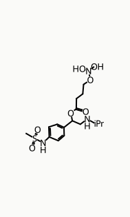 CC(C)NCC(OC(=O)CCCON(O)O)c1ccc(NS(C)(=O)=O)cc1